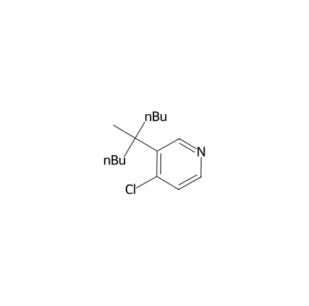 CCCCC(C)(CCCC)c1cnccc1Cl